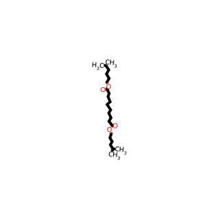 CC(C)CCCCOC(=O)CCCCCCCCC(=O)OCCCCC(C)C